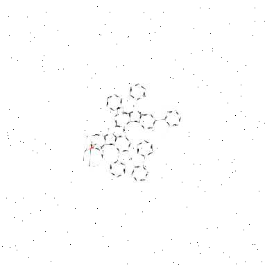 Cc1cccc(C)c1-c1ccc2c3c4c5cc6c(c7c8c9c(ncc8n(c4cnc3n(-c3ccccc3-c3ccccc3)c2c1)c57)C1CC2CC(C1)CC9C2)-c1ccccc1C61c2ccccc2-c2ccccc21